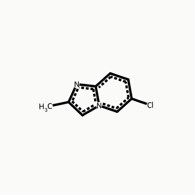 Cc1cn2cc(Cl)ccc2n1